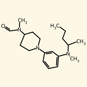 CCCC(C)N(C)c1cccc(N2CCC(N(C)C=O)CC2)c1